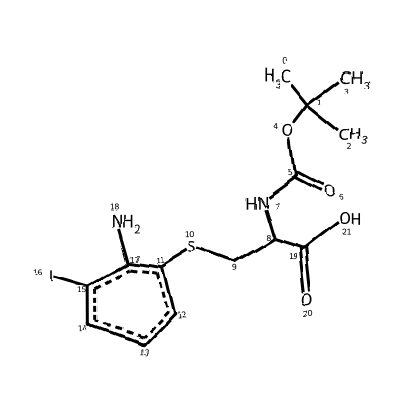 CC(C)(C)OC(=O)NC(CSc1cccc(I)c1N)C(=O)O